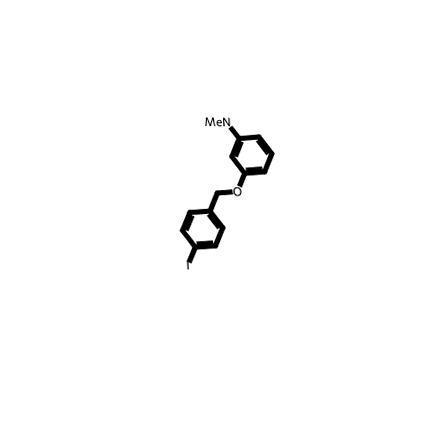 CNc1cccc(OCc2ccc(I)cc2)c1